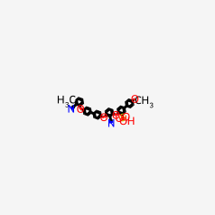 COc1ccc(-c2ccc(Oc3cccc(Oc4ccc(-c5ccc(Oc6cccc(C)c6C#N)cc5)cc4)c3C#N)c(S(=O)(=O)O)c2)cc1